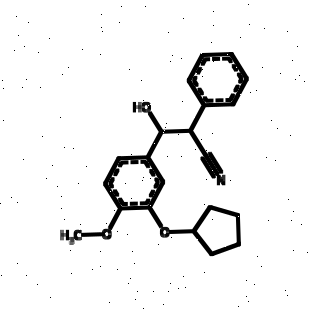 COc1ccc(C(O)C(C#N)c2ccccc2)cc1OC1CCCC1